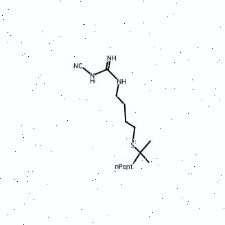 CCCCCC(C)(C)SCCCCNC(=N)NC#N